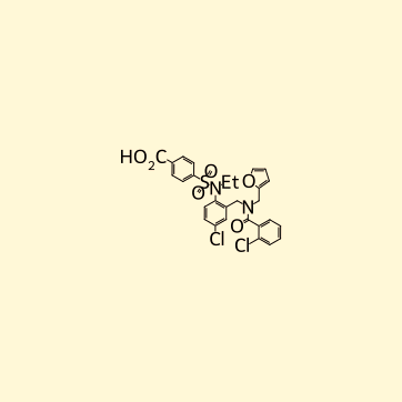 CCN(c1ccc(Cl)cc1CN(Cc1ccco1)C(=O)c1ccccc1Cl)S(=O)(=O)c1ccc(C(=O)O)cc1